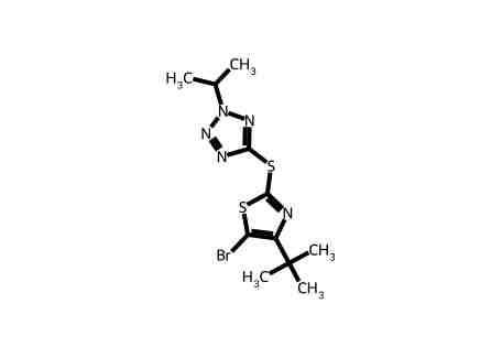 CC(C)n1nnc(Sc2nc(C(C)(C)C)c(Br)s2)n1